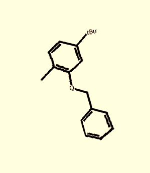 Cc1ccc(C(C)(C)C)cc1OCc1ccccc1